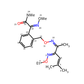 CCON=C(C=C(C)C)C(C)=NOCc1ccccc1C(=NOC)C(=O)NC